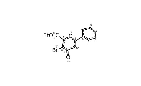 CCOC(=O)c1oc(-c2ccccc2)cc(=O)c1Br